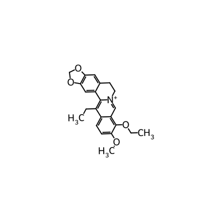 CCOc1c(OC)ccc2c(CC)c3[n+](cc12)CCc1cc2c(cc1-3)OCO2